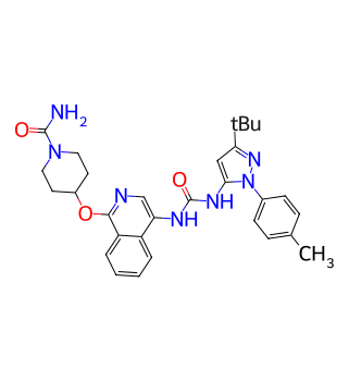 Cc1ccc(-n2nc(C(C)(C)C)cc2NC(=O)Nc2cnc(OC3CCN(C(N)=O)CC3)c3ccccc23)cc1